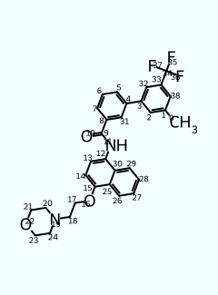 Cc1cc(-c2cccc(C(=O)Nc3ccc(OCCN4CCOCC4)c4ccccc34)c2)cc(C(F)(F)F)c1